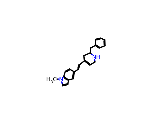 Cn1ccc2cc(/C=C/C3=CCNC(Cc4ccccc4)C3)ccc21